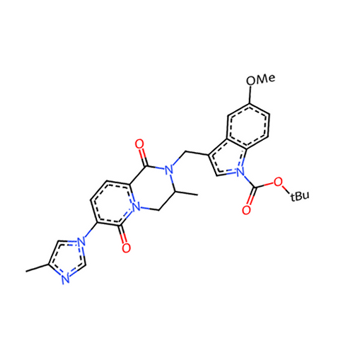 COc1ccc2c(c1)c(CN1C(=O)c3ccc(-n4cnc(C)c4)c(=O)n3CC1C)cn2C(=O)OC(C)(C)C